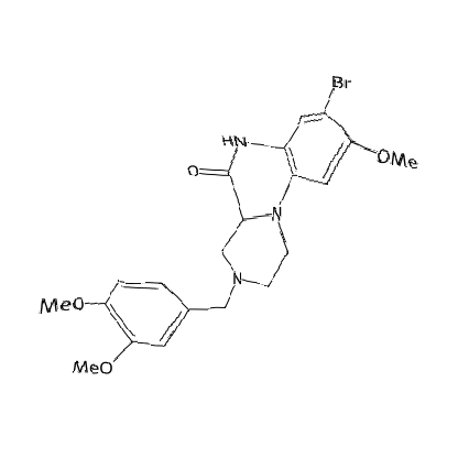 COc1cc2c(cc1Br)NC(=O)C1CN(Cc3ccc(OC)c(OC)c3)CCN21